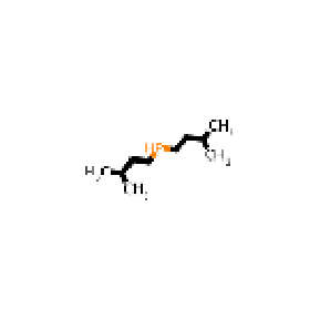 CC(C)CCPCCC(C)C